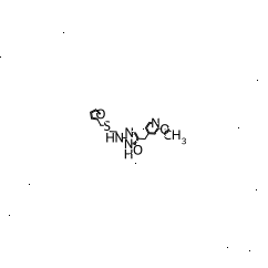 COc1cc(Cc2cnc(NCCSCc3ccco3)[nH]c2=O)ccn1